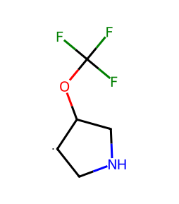 FC(F)(F)OC1[CH]CNC1